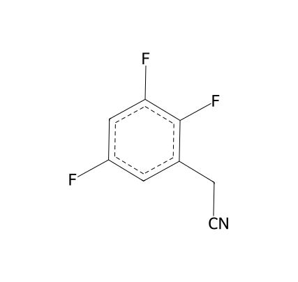 N#CCc1cc(F)cc(F)c1F